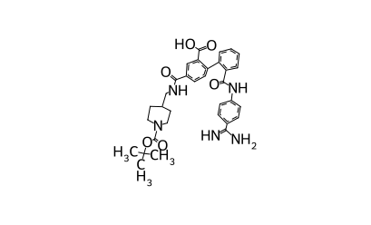 CC(C)(C)OC(=O)N1CCC(CNC(=O)c2ccc(-c3ccccc3C(=O)Nc3ccc(C(=N)N)cc3)c(C(=O)O)c2)CC1